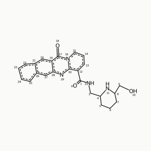 O=C(NCC1CCCC(CO)N1)c1cccn2c(=O)c3cc4ccccc4cc3nc12